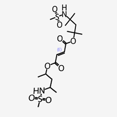 CC(CC(C)OC(=O)/C=C/C(=O)OC(C)(C)CC(C)(C)NS(C)(=O)=O)NS(C)(=O)=O